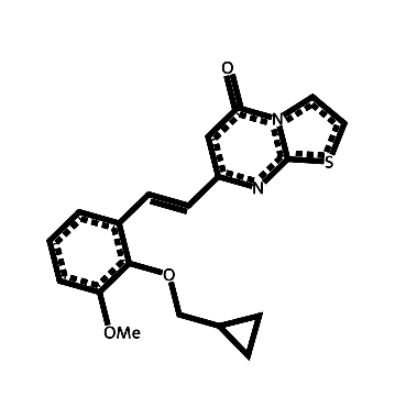 COc1cccc(C=Cc2cc(=O)n3ccsc3n2)c1OCC1CC1